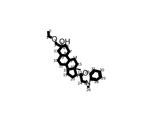 CCOC[C@@]1(O)CCC2C(CCC3C2CC[C@@]2(C)C3CC[C@@H]2C(=O)CN(C)c2ccccc2)C1